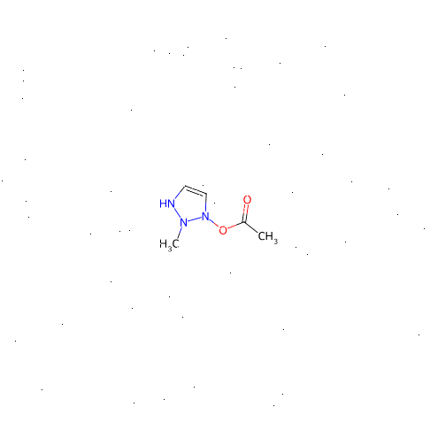 CC(=O)ON1C=CNN1C